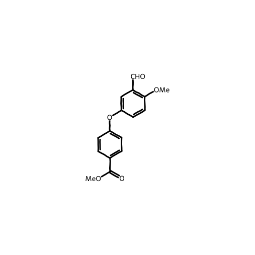 COC(=O)c1ccc(Oc2ccc(OC)c(C=O)c2)cc1